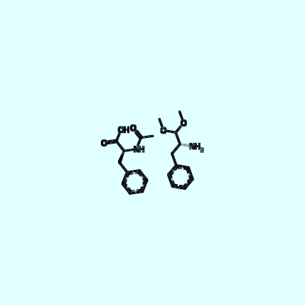 CC(=O)N[C@@H](Cc1ccccc1)C(=O)O.COC(OC)[C@H](N)Cc1ccccc1